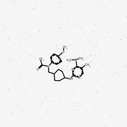 Cc1cnc(NC2CCC(CN(C(=O)C(F)(F)F)c3ccc(OC(F)(F)F)cc3)CC2)nc1N(C)C